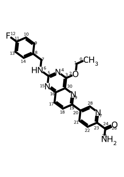 CCOc1nc(NCc2ccc(F)cc2)nc2ccc(-c3ccc(C(N)=O)nc3)nc12